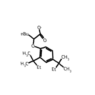 CCCCC(Oc1ccc(C(C)(C)CC)cc1C(C)(C)CC)C([O])=O